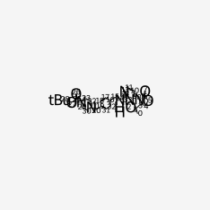 CC(O)C1COC(=O)N1c1ccnc(NCc2ccc(CN3CCN(C(=O)OC(C)(C)C)CC3)cc2)n1